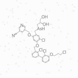 N#Cc1cncc(COc2cc(OCc3cccc(-c4cccc(OCCCCl)c4Cl)c3Cl)c(Cl)cc2C[AsH]C[C@H](O)CO)c1